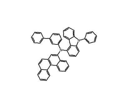 c1ccc(-c2cccc(N(c3cc4ccc5ccccc5c4c4ccccc34)c3cccc4c3c3ccccc3n4-c3ccccc3)c2)cc1